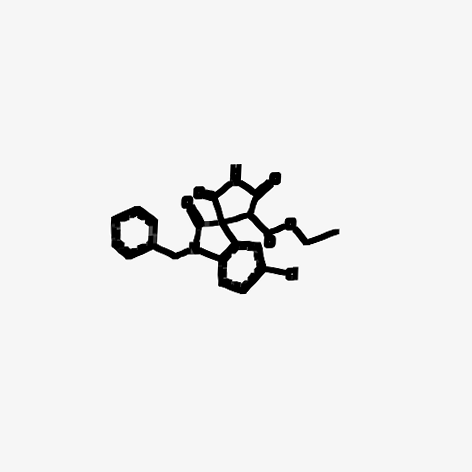 CCOC(=O)C1C(=O)NC(=O)C12C(=O)N(Cc1ccccc1)c1ccc(Cl)cc12